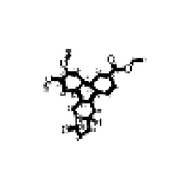 CCOC(=O)c1ccc2c3c(c4cc(OC)c(OC)cc4c2c1)CN1C(=O)CC[C@H]1C3